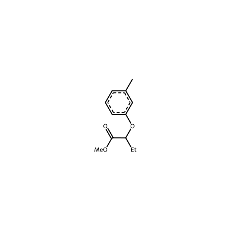 CCC(Oc1cccc(C)c1)C(=O)OC